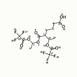 CC(OC(=O)C(CCCC(=O)O)C(C)OC(=O)C(F)(F)F)OC(=O)C(F)(F)F